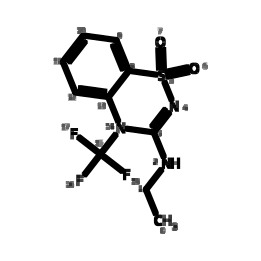 CCNC1=NS(=O)(=O)c2ccccc2N1C(F)(F)F